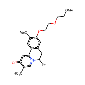 CCC1Cc2cc(OCCOCCOC)c(OC)cc2-c2cc(=O)c(C(=O)O)cn21